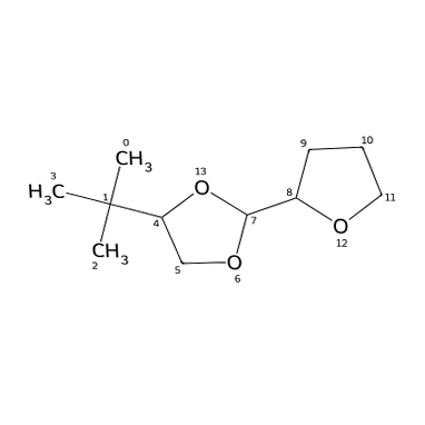 CC(C)(C)C1COC(C2CCCO2)O1